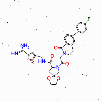 N=C(N)c1csc(CNC(=O)C2CC3(CN2C(=O)CN2CCc4cc(-c5ccc(F)cc5)ccc4C2=O)OCCO3)c1